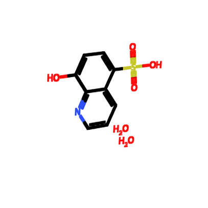 O.O.O=S(=O)(O)c1ccc(O)c2ncccc12